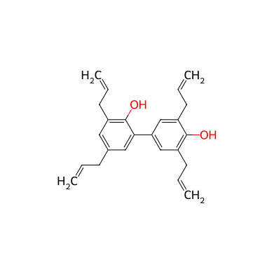 C=CCc1cc(CC=C)c(O)c(-c2cc(CC=C)c(O)c(CC=C)c2)c1